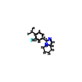 CC(C)c1ccc(-c2ncc3n2CCCC3)cc1F